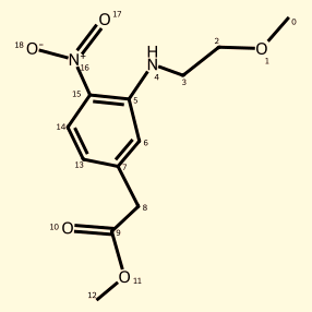 COCCNc1cc(CC(=O)OC)ccc1[N+](=O)[O-]